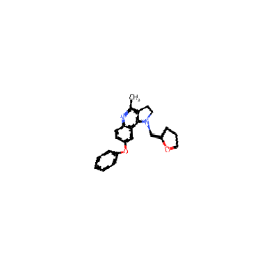 Cc1nc2ccc(Oc3ccccc3)cc2c2c1CCN2CC1CCCO1